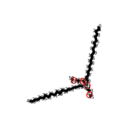 CCCCCCCCCCCCCCCCCCCC[Si](CCCCCCCCCCCCCCCCCCCC)(OCCOC)OCCOC